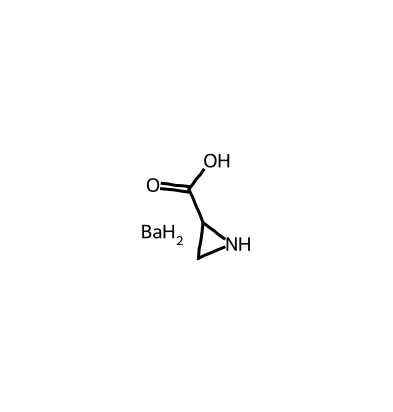 O=C(O)C1CN1.[BaH2]